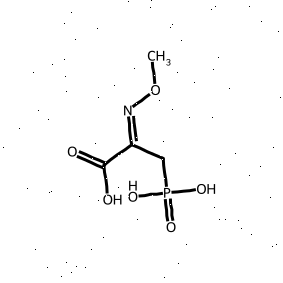 CON=C(CP(=O)(O)O)C(=O)O